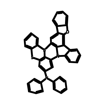 c1ccc(N(c2ccccc2)c2cc3c4c(c2)-n2c5ccccc5c5c6oc7ccccc7c6cc(c52)B4c2ccccc2S3)cc1